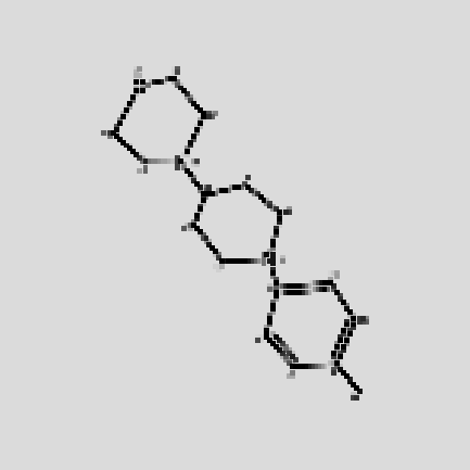 Cc1ccc(N2CCC(N3CCOCC3)CC2)cc1